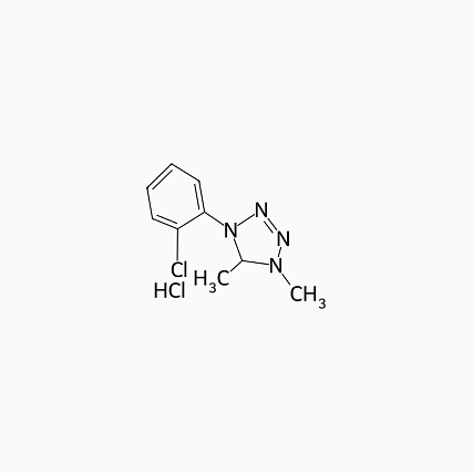 CC1N(C)N=NN1c1ccccc1Cl.Cl